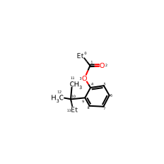 CCC(=O)Oc1ccccc1C(C)(C)CC